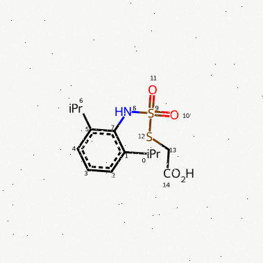 CC(C)c1cccc(C(C)C)c1NS(=O)(=O)SCC(=O)O